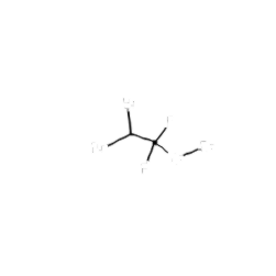 CCOC(F)(F)C(Br)Br